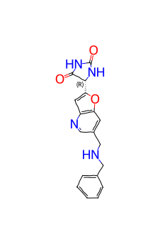 O=C1NC(=O)[C@@H](c2cc3ncc(CNCc4ccccc4)cc3o2)N1